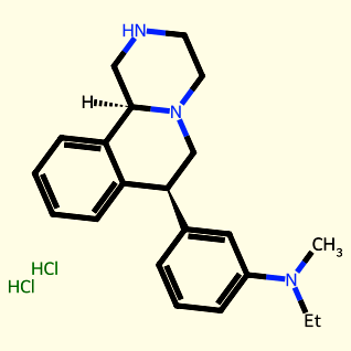 CCN(C)c1cccc([C@@H]2CN3CCNC[C@@H]3c3ccccc32)c1.Cl.Cl